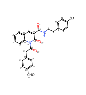 CCc1ccc(CCNC(=O)c2cc3ccccc3n(C(=O)Cc3ccc(C=O)cc3)c2=O)cc1